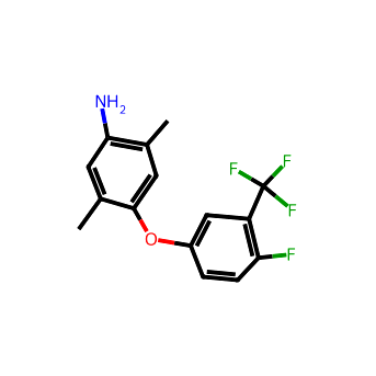 Cc1cc(Oc2ccc(F)c(C(F)(F)F)c2)c(C)cc1N